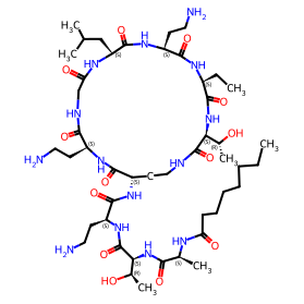 CCCCCCCC(=O)N[C@@H](C)C(=O)N[C@H](C(=O)N[C@@H](CCN)C(=O)N[C@H]1CCNC(=O)[C@H]([C@@H](C)O)NC(=O)[C@H](CC)NC(=O)[C@H](CCN)NC(=O)[C@H](CC(C)C)NC(=O)CNC(=O)[C@H](CCN)NC1=O)[C@@H](C)O